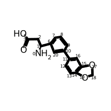 N[C@@H](CC(=O)O)c1cccc(-c2ccc3c(c2)OCO3)c1